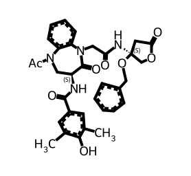 CC(=O)N1C[C@H](NC(=O)c2cc(C)c(O)c(C)c2)C(=O)N(CC(=O)N[C@@]2(OCc3ccccc3)COC(=O)C2)c2ccccc21